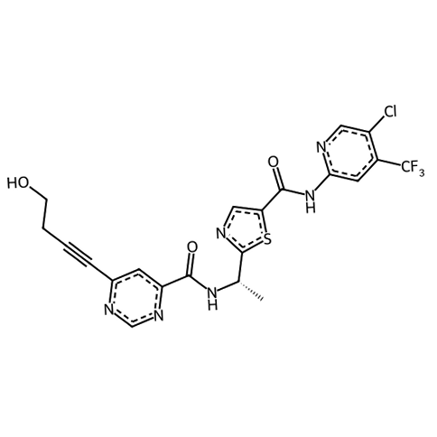 C[C@H](NC(=O)c1cc(C#CCCO)ncn1)c1ncc(C(=O)Nc2cc(C(F)(F)F)c(Cl)cn2)s1